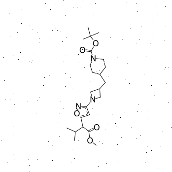 COC(=O)C(c1cc(N2CC(CC3CCN(C(=O)OC(C)(C)C)CC3)C2)no1)C(C)C